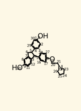 Oc1ccc(C2Cc3cc(O)ccc3C2c2ccc(OCCN3CCCC3)cc2)cc1